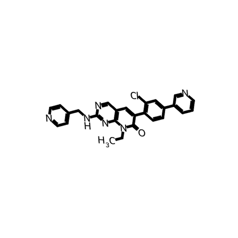 CCn1c(=O)c(-c2ccc(-c3cccnc3)cc2Cl)cc2cnc(NCc3ccncc3)nc21